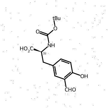 CC(C)(C)OC(=O)N[C@@H](Cc1ccc(O)c(C=O)c1)C(=O)O